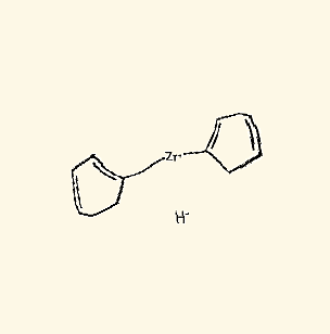 C1=CC[C]([Zr+][C]2=CC=CC2)=C1.[H-]